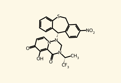 C[C@@H](N1CN([C@H]2c3ccc([N+](=O)[O-])cc3CSc3ccccc32)n2ccc(=O)c(O)c2C1=O)C(F)(F)F